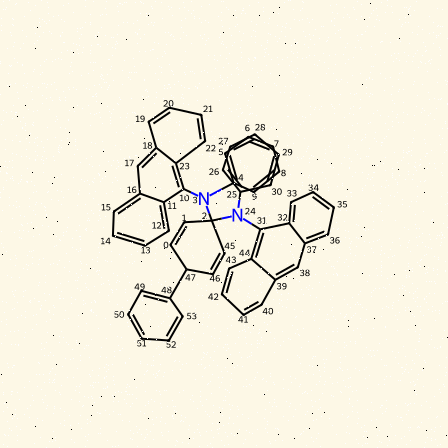 C1=CC(N(c2ccccc2)c2c3ccccc3cc3ccccc23)(N(c2ccccc2)c2c3ccccc3cc3ccccc23)C=CC1c1ccccc1